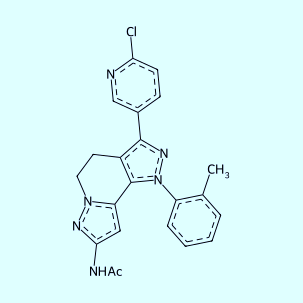 CC(=O)Nc1cc2n(n1)CCc1c(-c3ccc(Cl)nc3)nn(-c3ccccc3C)c1-2